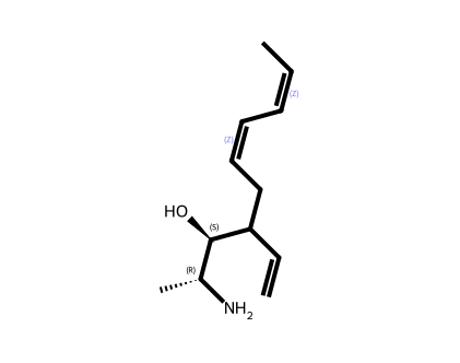 C=CC(C/C=C\C=C/C)[C@H](O)[C@@H](C)N